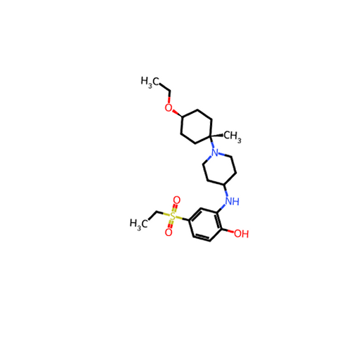 CCO[C@H]1CC[C@](C)(N2CCC(Nc3cc(S(=O)(=O)CC)ccc3O)CC2)CC1